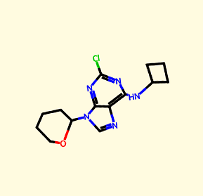 Clc1nc(NC2CCC2)c2ncn(C3CCCCO3)c2n1